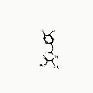 CC(C)COC(=O)C(C)NC(=O)Cc1ccc(Cl)c(Cl)c1